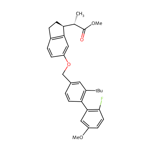 COC(=O)[C@@H](C)[C@@H]1CCc2ccc(OCc3ccc(-c4cc(OC)ccc4F)c(C(C)(C)C)c3)cc21